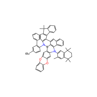 Cc1cc2c(cc1N1c3cc4c(cc3B3c5c(cc6ccccc6c51)-c1c(ccc5c1-c1ccccc1C5(C)C)N3c1ccc(C(C)(C)C)cc1-c1ccccc1)Oc1ccccc1O4)C(C)(C)CCC2(C)C